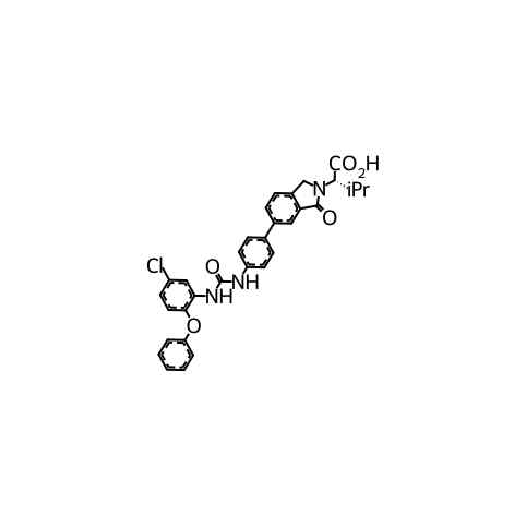 CC(C)[C@@H](C(=O)O)N1Cc2ccc(-c3ccc(NC(=O)Nc4cc(Cl)ccc4Oc4ccccc4)cc3)cc2C1=O